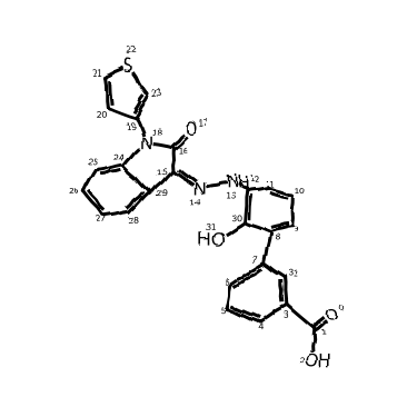 O=C(O)c1cccc(-c2cccc(N/N=C3\C(=O)N(c4ccsc4)c4ccccc43)c2O)c1